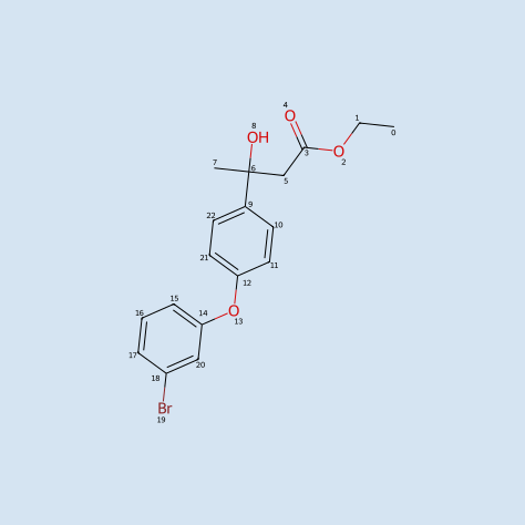 CCOC(=O)CC(C)(O)c1ccc(Oc2cccc(Br)c2)cc1